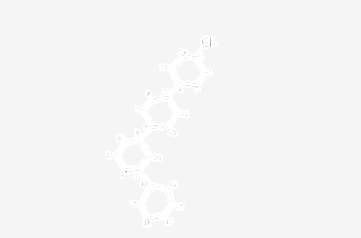 Clc1ccc(-c2ccc(-c3cccc(-c4ccccc4)c3)cc2)cc1